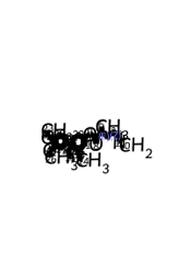 C=N/C=C\C=C(/C)C(=O)OC1=CC2N(C)CCC2(c2ccc(OC)c(OC)c2)CC1